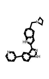 c1cncc(-c2ccc3[nH]nc(-c4cc5cc(CN6CCC6)ccc5[nH]4)c3c2)c1